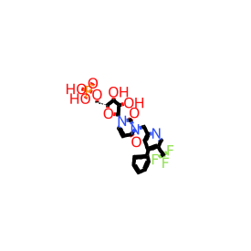 O=c1ccn([C@@H]2O[C@H](COP(=O)(O)O)C(O)C2O)c(=O)n1Cc1cc(-c2ccccc2)c(C(F)(F)F)cn1